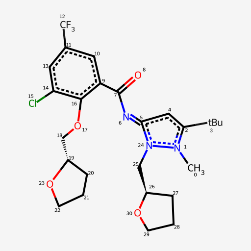 Cn1c(C(C)(C)C)c/c(=N\C(=O)c2cc(C(F)(F)F)cc(Cl)c2OC[C@@H]2CCCO2)n1C[C@H]1CCCO1